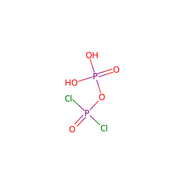 O=P(O)(O)OP(=O)(Cl)Cl